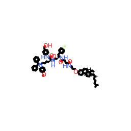 COc1ccc(N(CCCC[C@H](NC(=O)C[C@H](Cc2ccc(F)cc2)NC(=O)CCC(=O)NCCCO[C@H]2CC[C@@]3(C)C(=CC[C@@H]4C3CC[C@]3(C)[C@@H]([C@H](C)CCCC(C)C)CC[C@@H]43)C2)C(=O)Nc2ccc(CO)cc2)C(c2ccccc2)c2ccccc2)cc1